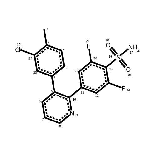 Cc1ccc(-c2cccnc2-c2cc(F)c(S(N)(=O)=O)c(F)c2)cc1Cl